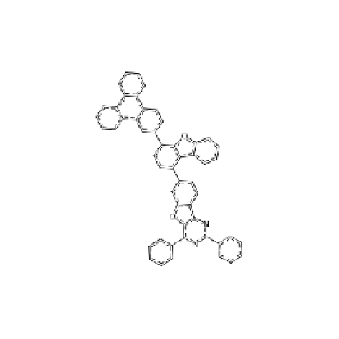 c1ccc(-c2nc(-c3ccccc3)c3oc4cc(-c5ccc(-c6ccc7c8ccccc8c8ccccc8c7c6)c6oc7ccccc7c56)ccc4c3n2)cc1